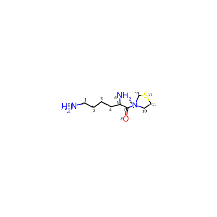 NCCCCC(N)C(=O)N1CCSC1